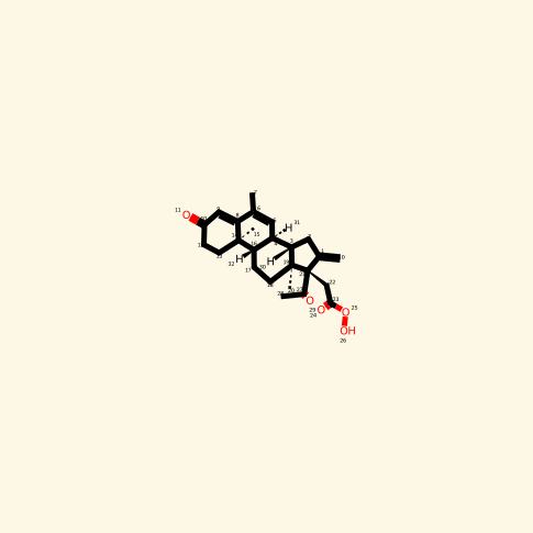 C=C1C[C@H]2[C@@H]3C=C(C)C4=CC(=O)CC[C@]4(C)[C@H]3CC[C@]2(C)[C@@]1(CC(=O)OO)C(C)=O